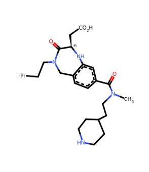 CC(C)CCN1Cc2ccc(C(=O)N(C)CCC3CCNCC3)cc2N[C@H](CC(=O)O)C1=O